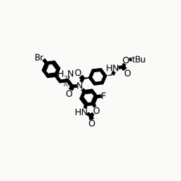 CC(C)(C)OC(=O)NC[C@H]1CC[C@H](C(=O)N(C(=O)[C@@H](N)Cc2ccc(Br)cc2)c2cc(F)c3oc(=O)[nH]c3c2)CC1